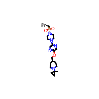 CC(C)CS(=O)(=O)N1CCN(c2cnc(OCC3CCN(C4(C)CC4)CC3)cn2)CC1